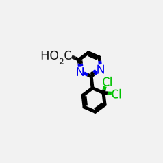 O=C(O)c1ccnc(C2C=CC=CC2(Cl)Cl)n1